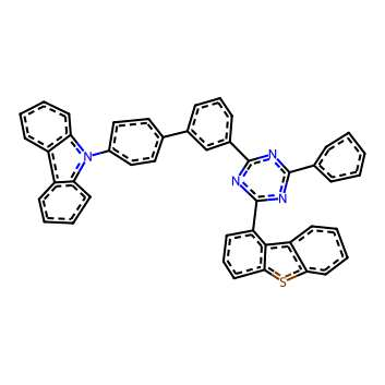 c1ccc(-c2nc(-c3cccc(-c4ccc(-n5c6ccccc6c6ccccc65)cc4)c3)nc(-c3cccc4sc5ccccc5c34)n2)cc1